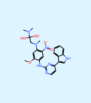 COc1cc(N(C)CC(O)(O)N(C)C)c([N+](=O)[O-])cc1Nc1nccc(-c2c[nH]c3ccccc23)n1